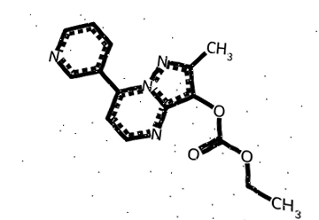 CCOC(=O)Oc1c(C)nn2c(-c3cccnc3)ccnc12